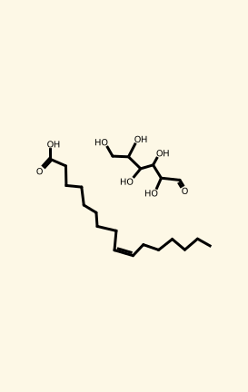 CCCCCC/C=C\CCCCCCCC(=O)O.O=CC(O)C(O)C(O)C(O)CO